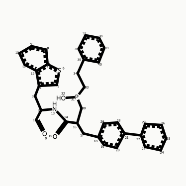 O=CC(Cc1csc2ccccc12)NC(=O)C(Cc1ccc(-c2ccccc2)cc1)CP(O)CCc1ccccc1